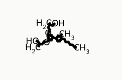 C=C(CO)CCOc1cc(OCCC(=C)CO)cc(-c2ccc(CCCCCCC)c(C)c2)c1